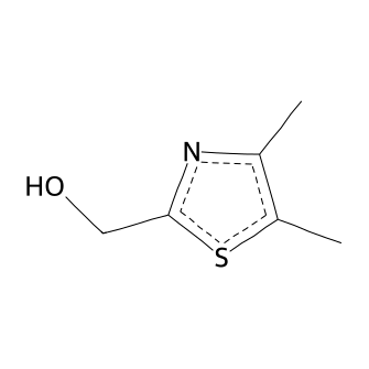 Cc1nc(CO)sc1C